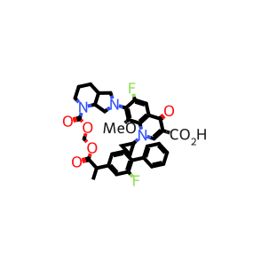 COc1c(N2CC3CCCN(C(=O)OCOC(=O)C(C)c4ccc(-c5ccccc5)c(F)c4)C3C2)c(F)cc2c(=O)c(C(=O)O)cn(C3CC3)c12